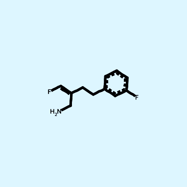 NC/C(=C\F)CCc1cccc(F)c1